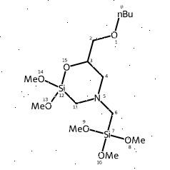 CCCCOCC1CN(C[Si](OC)(OC)OC)C[Si](OC)(OC)O1